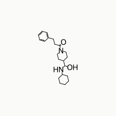 O=C(CCc1ccccc1)N1CCC([C@@H](O)NC2CCCCC2)CC1